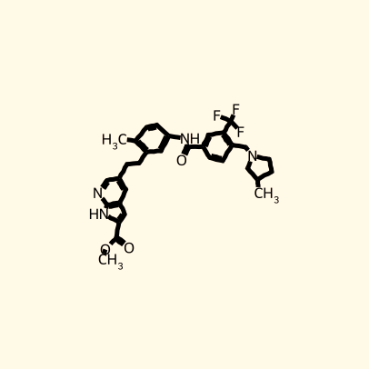 COC(=O)c1cc2cc(CCc3cc(NC(=O)c4ccc(CN5CCC(C)C5)c(C(F)(F)F)c4)ccc3C)cnc2[nH]1